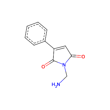 NCN1C(=O)C=C(c2ccccc2)C1=O